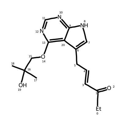 CCC(=O)C=CCc1c[nH]c2ncnc(OCC(C)(C)O)c12